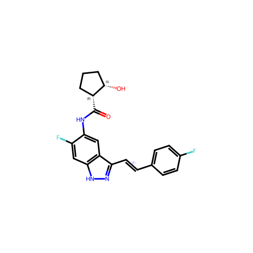 O=C(Nc1cc2c(/C=C/c3ccc(F)cc3)n[nH]c2cc1F)[C@@H]1CCC[C@@H]1O